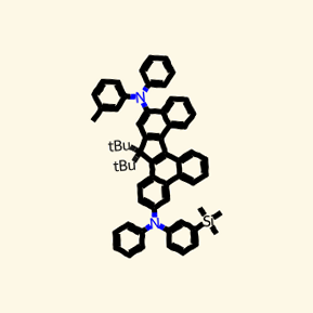 Cc1cccc(N(c2ccccc2)c2cc3c(c4ccccc24)-c2c(c4ccc(N(c5ccccc5)c5cccc([Si](C)(C)C)c5)cc4c4ccccc24)C3(C(C)(C)C)C(C)(C)C)c1